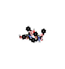 COc1ccc(C2SC3(COCc4ccccc4)C(=O)N(C)C(Cc4ccc(CC56SC(c7ccc(OC)cc7)SC(COCc7ccccc7)(C(=O)N5C)N(C)C6=O)cc4)(S2)C(=O)N3C)cc1